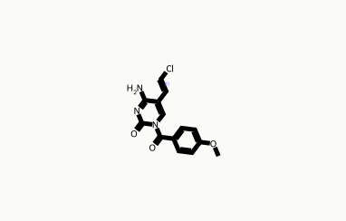 COc1ccc(C(=O)n2cc(/C=C/Cl)c(N)nc2=O)cc1